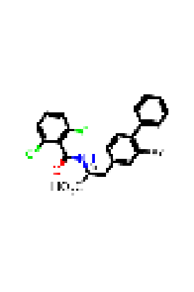 CC(=O)c1cc(C[C@H](NC(=O)c2c(Cl)cccc2Cl)C(=O)O)ccc1-c1ccccc1